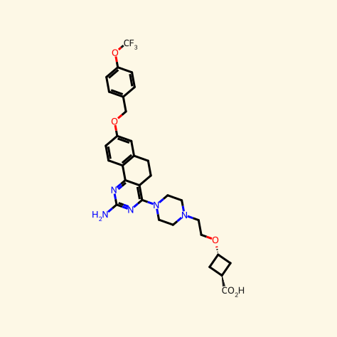 Nc1nc2c(c(N3CCN(CCO[C@H]4C[C@H](C(=O)O)C4)CC3)n1)CCc1cc(OCc3ccc(OC(F)(F)F)cc3)ccc1-2